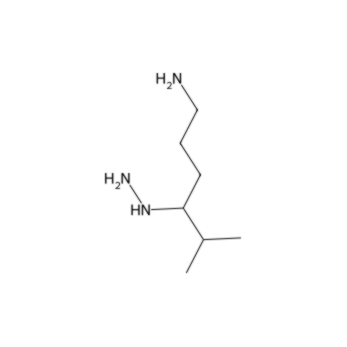 CC(C)C(CCCN)NN